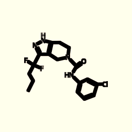 CCCC(F)(F)c1n[nH]c2c1CN(C(=O)Nc1cccc(Cl)c1)CC2